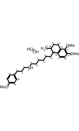 COc1ccc(CCCNCCCCCCC2c3ccc(OC)c(OC)c3CCC2N)cc1.Cl.Cl